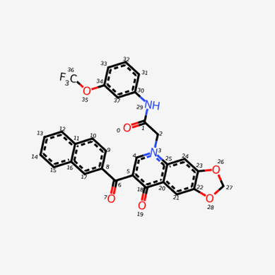 O=C(Cn1cc(C(=O)c2ccc3ccccc3c2)c(=O)c2cc3c(cc21)OCO3)Nc1cccc(OC(F)(F)F)c1